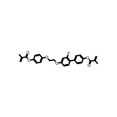 C=C(C)C(=O)Oc1ccc(OCCOc2ccc(-c3ccc(OC(=O)C(=C)C)cc3)c(F)c2)cc1